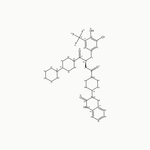 O=C(C[C@H](Cc1cc(Cl)c(O)c(C(F)(F)F)c1)C(=O)N1CCC(N2CCCCC2)CC1)N1CCC(N2Cc3ccccc3NC2=O)CC1